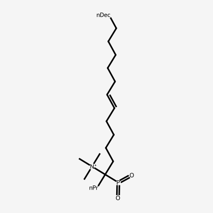 CCCCCCCCCCCCCCCC=CCCCCC(CCC)(P(=O)=O)[N+](C)(C)C